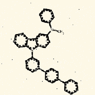 CN(c1ccccc1)c1ccc2c(c1)c1ccccc1n2-c1cccc(-c2ccc(-c3ccccc3)cc2)c1